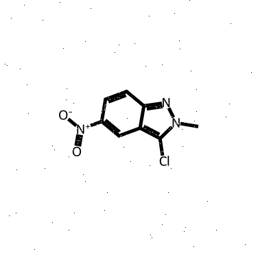 Cn1nc2ccc([N+](=O)[O-])cc2c1Cl